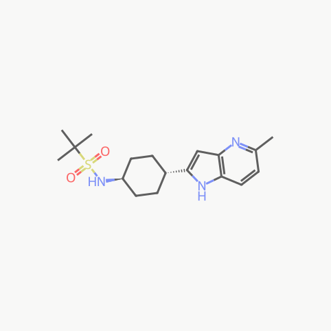 Cc1ccc2[nH]c([C@H]3CC[C@H](NS(=O)(=O)C(C)(C)C)CC3)cc2n1